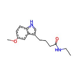 CCNC(=O)CCCc1c[nH]c2ccc(OC)cc12